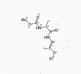 CCO/C(C)=N/NC(=O)C(C)NC(=O)OC(C)(C)C